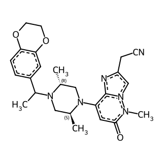 CC(c1ccc2c(c1)OCCO2)N1C[C@H](C)N(c2cc(=O)n(C)n3cc(CC#N)nc23)C[C@H]1C